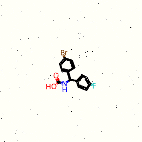 O=C(O)NC(c1ccc(F)cc1)c1ccc(Br)cc1